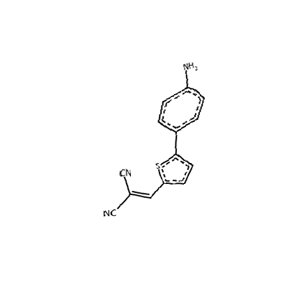 N#CC(C#N)=Cc1ccc(-c2ccc(N)cc2)s1